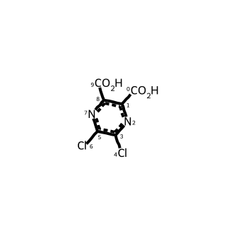 O=C(O)c1nc(Cl)c(Cl)nc1C(=O)O